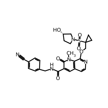 Cn1c(=O)c(C(=O)NCc2ccc(C#N)cc2)cc2ccnc(OCC3(S(=O)(=O)N4CC[C@H](O)C4)CC3)c21